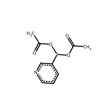 CC(=O)OI(OC(C)=O)c1cccnc1